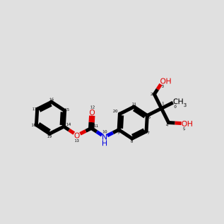 CC(CO)(CO)c1ccc(NC(=O)Oc2ccccc2)cc1